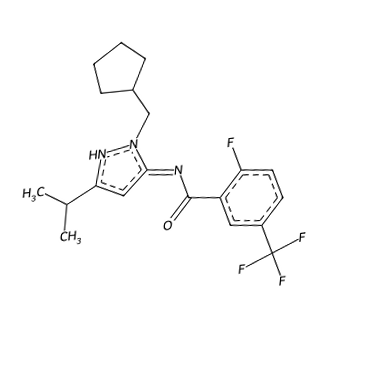 CC(C)c1c/c(=N\C(=O)c2cc(C(F)(F)F)ccc2F)n(CC2CCCC2)[nH]1